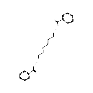 O=C(OOCCCCCCOOC(=O)c1ccccc1)c1ccccc1